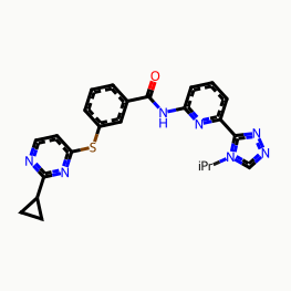 CC(C)n1cnnc1-c1cccc(NC(=O)c2cccc(Sc3ccnc(C4CC4)n3)c2)n1